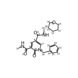 CNC(=O)c1cc(C(=O)NC[C@H]2CCCOC2)cn(Cc2ccccc2)c1=O